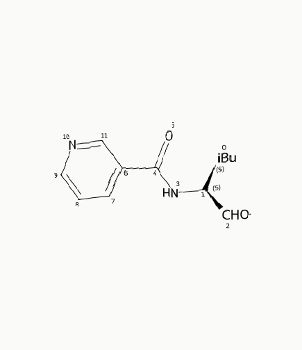 CC[C@H](C)[C@@H]([C]=O)NC(=O)c1cccnc1